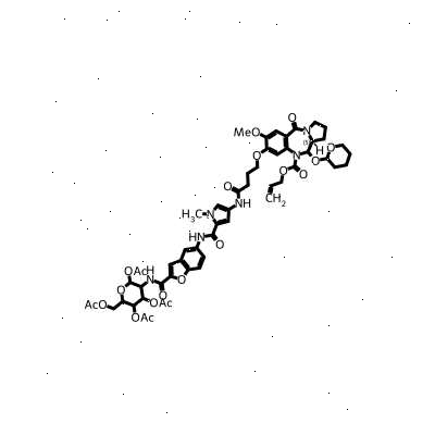 C=CCOC(=O)N1c2cc(OCCCC(=O)Nc3cc(C(=O)Nc4ccc5oc(C(=O)NC6C(OC(C)=O)OC(COC(C)=O)C(OC(C)=O)C6OC(C)=O)cc5c4)n(C)c3)c(OC)cc2C(=O)N2CCC[C@H]2C1OC1CCCCO1